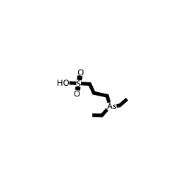 CC[As](CC)CCCS(=O)(=O)O